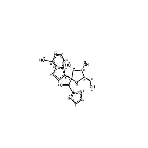 O=C(c1ncc[nH]1)[C@@]1(n2cnc3c(O)ncnc32)O[C@H](CO)[C@@H](O)[C@H]1O